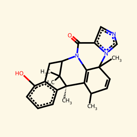 CC1C=CC2(C)C3=C1[C@@]1(C)c4cccc(O)c4CC(N3C(=O)c3cncn32)C1(C)C